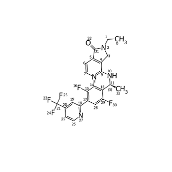 CCN1Cc2c(ccnc2N[C@@H](C)c2cc(F)c(-c3cc(C(F)(F)F)ccn3)cc2F)C1=O